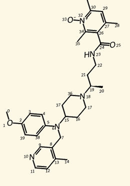 COc1ccc(N(Cc2cnccc2C)C2CCN([C@H](C)CCNC(=O)c3c(C)cc(C)[n+]([O-])c3C)CC2)cc1